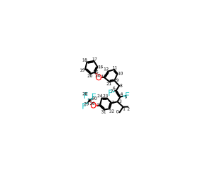 CC(C)C(C(F)=C(F)Cc1cccc(Oc2ccccc2)c1)c1ccc(OC(F)(F)F)cc1